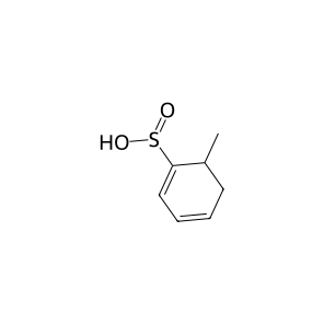 CC1CC=CC=C1S(=O)O